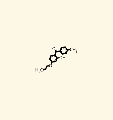 C=CCOc1ccc(C(=O)c2ccc(C)cc2)c(O)c1